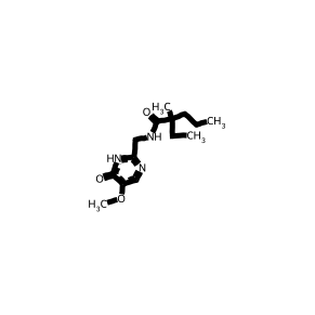 CCCC(C)(CC)C(=O)NCc1ncc(OC)c(=O)[nH]1